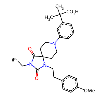 COc1ccc(CCN2C(=O)N(CC(C)C)C(=O)C23CCN(c2cccc(C(C)(C)C(=O)O)c2)CC3)cc1